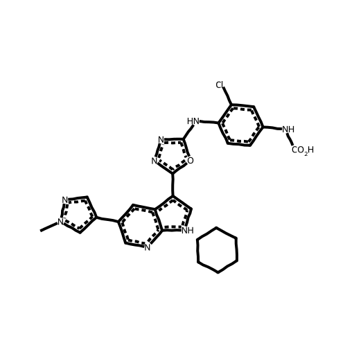 C1CCCCC1.Cn1cc(-c2cnc3[nH]cc(-c4nnc(Nc5ccc(NC(=O)O)cc5Cl)o4)c3c2)cn1